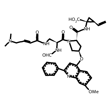 C=C[C@@H]1C[C@]1(NC(=O)[C@@H]1C[C@@H](Oc2cc(-c3ccccc3)nc3cc(OC)ccc23)CN1C(=O)[C@H](CNC(=O)/C=C/CN(C)C)NC=O)C(=O)O